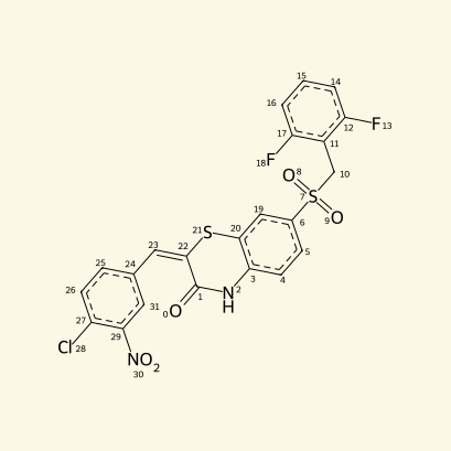 O=C1Nc2ccc(S(=O)(=O)Cc3c(F)cccc3F)cc2S/C1=C/c1ccc(Cl)c([N+](=O)[O-])c1